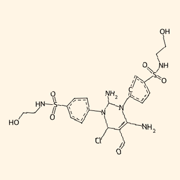 NC1=C(C=O)C(Cl)N(c2ccc(S(=O)(=O)NCCO)cc2)C(N)N1c1ccc(S(=O)(=O)NCCO)cc1